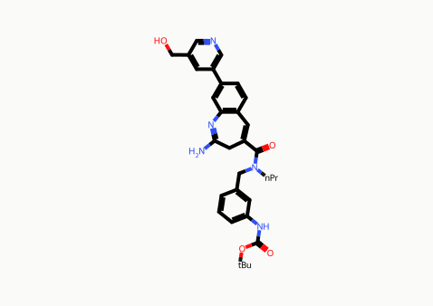 CCCN(Cc1cccc(NC(=O)OC(C)(C)C)c1)C(=O)C1=Cc2ccc(-c3cncc(CO)c3)cc2N=C(N)C1